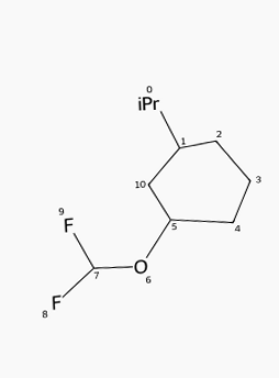 CC(C)C1CCCC(OC(F)F)C1